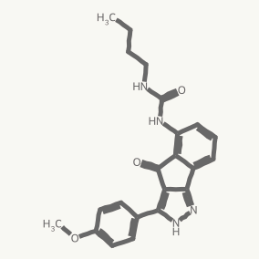 CCCCNC(=O)Nc1cccc2c1C(=O)c1c-2n[nH]c1-c1ccc(OC)cc1